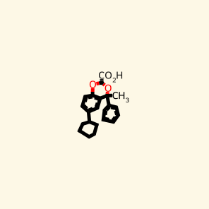 CC1(c2ccccc2)OC(C(=O)O)Oc2ccc(C3CCCCC3)cc21